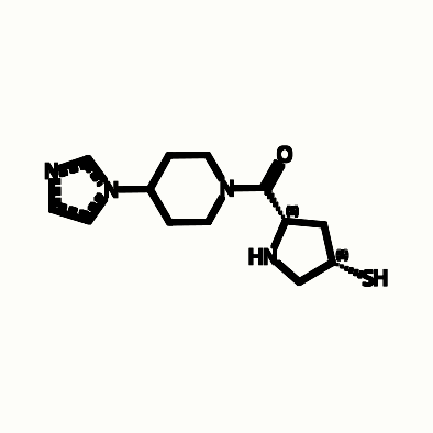 O=C([C@@H]1C[C@H](S)CN1)N1CCC(n2ccnc2)CC1